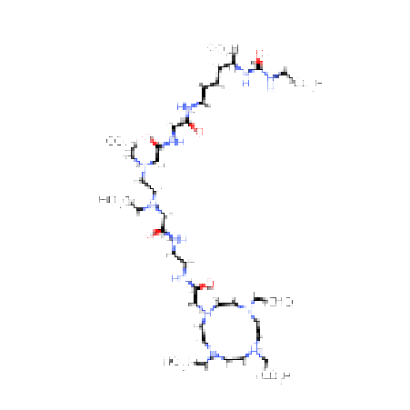 O=CCN1CCN(CC(=O)O)CCN(CC(=O)O)CCN(CC(=O)NCCNC(=O)CN(CCN(CC(=O)O)CC(=O)NCC(=O)NCCCCC(NC(=O)NCC(=O)O)C(=O)O)CC(=O)O)CC1